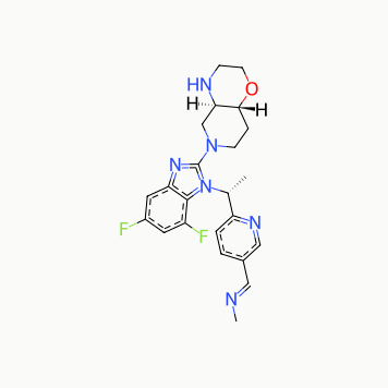 C/N=C/c1ccc([C@@H](C)n2c(N3CC[C@H]4OCCN[C@@H]4C3)nc3cc(F)cc(F)c32)nc1